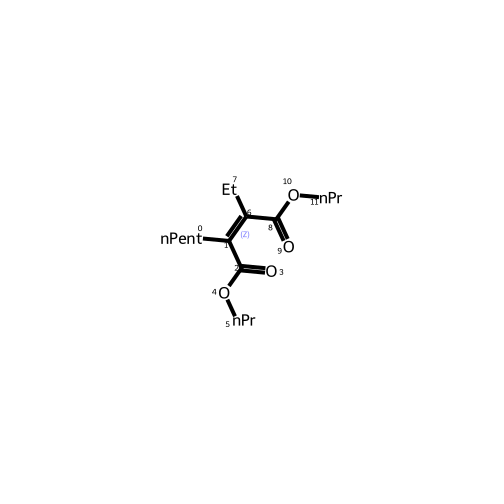 CCCCC/C(C(=O)OCCC)=C(\CC)C(=O)OCCC